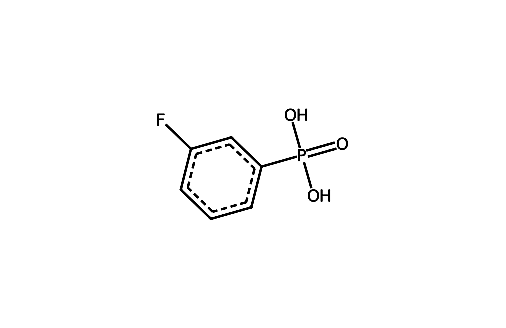 O=P(O)(O)c1cccc(F)c1